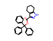 O=C(OC(c1ccccc1)(c1ccccc1)c1ccccc1)c1n[nH]c2c1CCCC2